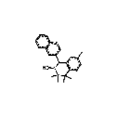 Cc1ccc2c(c1)C(c1cnc3ccccc3c1)N(O)C(C)(C)C2(C)C